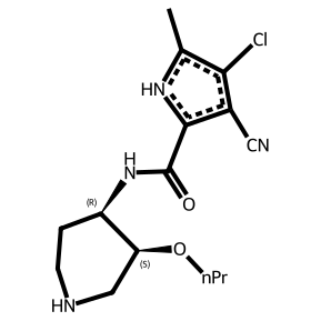 CCCO[C@H]1CNCC[C@H]1NC(=O)c1[nH]c(C)c(Cl)c1C#N